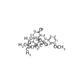 COc1cccc(C(CC2=C3CC[C@H](OC(C)(C)C)[C@@]3(C)CCC2=O)S(C)(=O)=O)c1